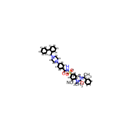 C[C@@H](c1ccccc1)N(C)C(=O)N(C)c1ccc(S(=O)(=O)NC(=O)c2ccc(N3CCN(Cc4ccccc4-c4ccccc4)CC3)cc2)cc1[N+](=O)[O-]